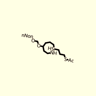 CCCCCCCCCOCOC1CCC[SiH](CCCSC(C)=O)NCC1